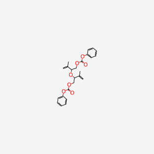 C=C(C)C(COC(=O)Oc1ccccc1)OC(COC(=O)Oc1ccccc1)C(=C)C